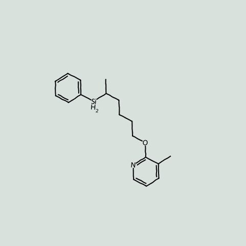 Cc1cccnc1OCCCCC(C)[SiH2]c1ccccc1